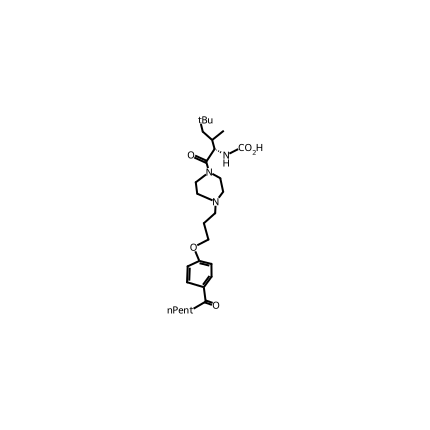 CCCCCC(=O)c1ccc(OCCCN2CCN(C(=O)[C@@H](NC(=O)O)C(C)CC(C)(C)C)CC2)cc1